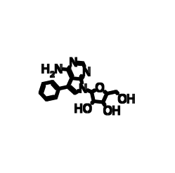 Nc1ncnc2c1c(-c1ccccc1)cn2C1OC(CO)C(O)C1O